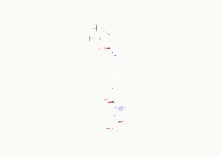 CC(C)(C)OC(=O)NCCOCCOC(=O)NCC(=O)O